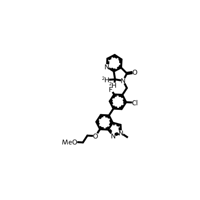 [2H]C1([2H])c2ncccc2C(=O)N1Cc1c(F)cc(-c2ccc(OCCOC)c3nn(C)cc23)cc1Cl